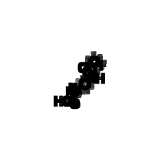 O=C(Cc1c(F)cccc1Cl)N[C@H]1CC[C@@H](n2cc(C(=O)O)nn2)CC1